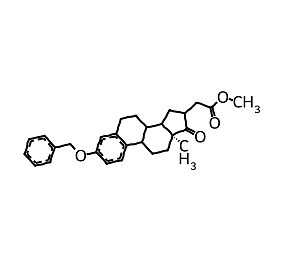 COC(=O)CC1CC2C3CCc4cc(OCc5ccccc5)ccc4C3CC[C@]2(C)C1=O